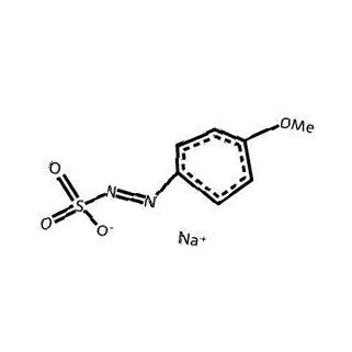 COc1ccc(N=NS(=O)(=O)[O-])cc1.[Na+]